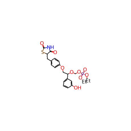 CCOP(=O)(OCC)OCOC(COc1ccc(CC2SC(=O)NC2=O)cc1)c1cccc(O)c1